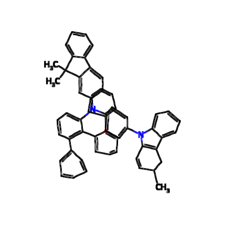 CC1C=Cc2c(c3ccccc3n2-c2ccc(N(c3ccc4c(c3)C(C)(C)c3ccccc3-4)c3cccc(-c4ccccc4)c3-c3ccccc3-c3ccccc3)cc2)C1